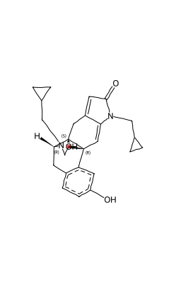 O=C1C=C2C[C@@]3(O)[C@H]4Cc5ccc(O)cc5[C@]3(C=C2N1CC1CC1)CCN4CC1CC1